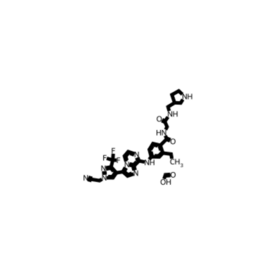 CCc1cc(Nc2nccn3c(-c4cn(CC#N)nc4C(F)(F)F)cnc23)ccc1C(=O)NCC(=O)NCC1CCNC1.O=CO